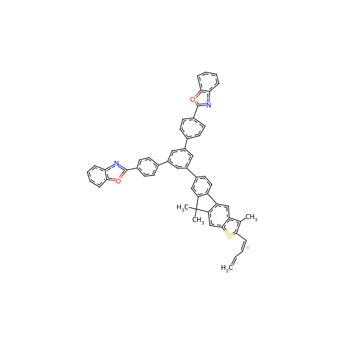 C=C/C=C\c1sc2cc3c(cc2c1C)-c1ccc(-c2cc(-c4ccc(-c5nc6ccccc6o5)cc4)cc(-c4ccc(-c5nc6ccccc6o5)cc4)c2)cc1C3(C)C